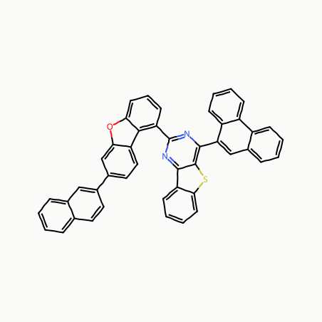 c1ccc2cc(-c3ccc4c(c3)oc3cccc(-c5nc(-c6cc7ccccc7c7ccccc67)c6sc7ccccc7c6n5)c34)ccc2c1